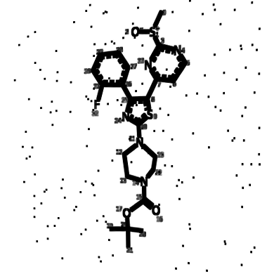 C[S+]([O-])c1nccc(-c2sc(N3CCN(C(=O)OC(C)(C)C)CC3)nc2-c2ccccc2F)n1